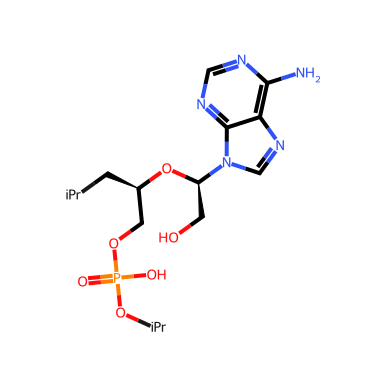 CC(C)C[C@H](COP(=O)(O)OC(C)C)O[C@H](CO)n1cnc2c(N)ncnc21